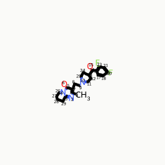 Cc1nc2n(c(=O)c1CCN1CCC(C(=O)c3ccc(F)cc3F)CC1)CCCC2